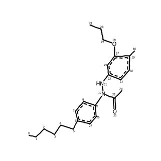 CCCCCCc1ccc(N(Nc2ccc(C)c(OCCC)c2)C(C)=O)cc1